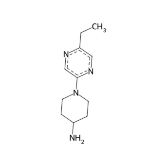 CCc1cnc(N2CCC(N)CC2)cn1